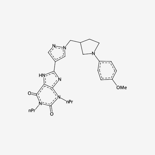 CCCn1c(=O)c2[nH]c(-c3cnn(CC4CCN(c5ccc(OC)cc5)C4)c3)nc2n(CCC)c1=O